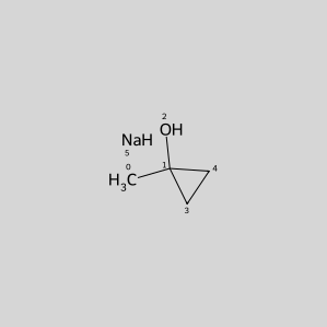 CC1(O)CC1.[NaH]